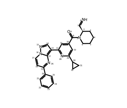 N=C[C@H]1CCCCN1C(=O)c1cc(-c2cnn3ccc(-c4ccccc4)nc23)nc(C2CC2)c1